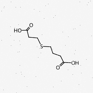 O=C(O)CCCSCCC(=O)O